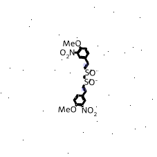 COc1ccc(/C=C/[S+]([O-])C[S+]([O-])/C=C/c2ccc(OC)c([N+](=O)[O-])c2)cc1[N+](=O)[O-]